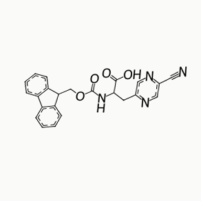 N#Cc1cnc(CC(NC(=O)OCC2c3ccccc3-c3ccccc32)C(=O)O)cn1